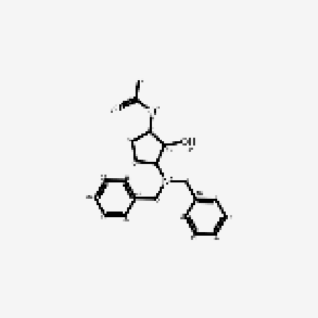 CC(=O)OC1CCC(N(Cc2ccccc2)Cc2ccccc2)C1O